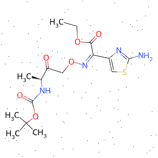 CCOC(=O)C(=NOCC(=O)[C@H](C)NC(=O)OC(C)(C)C)c1csc(N)n1